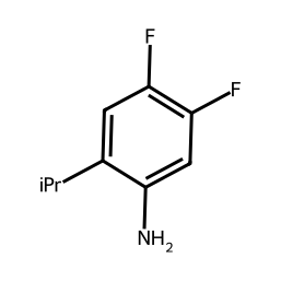 CC(C)c1cc(F)c(F)cc1N